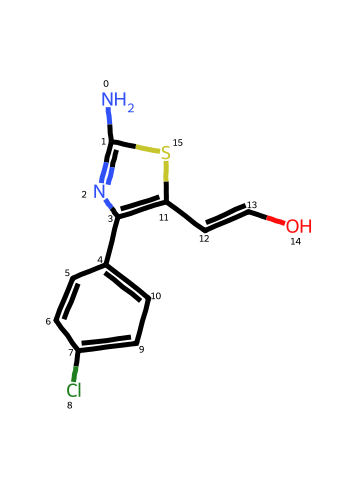 Nc1nc(-c2ccc(Cl)cc2)c(/C=C/O)s1